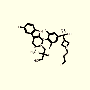 C[C@@H]1Cc2c([nH]c3ccc(F)cc23)[C@@H](c2c(F)cc([C@@](C)(O)C3CN(CCCF)C3)cc2F)N1CC(F)(F)CO